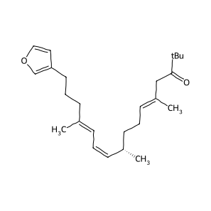 C/C(=C\C=C/[C@@H](C)CC/C=C(\C)CC(=O)C(C)(C)C)CCCc1ccoc1